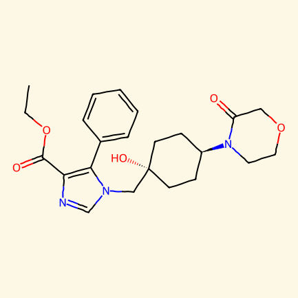 CCOC(=O)c1ncn(C[C@]2(O)CC[C@H](N3CCOCC3=O)CC2)c1-c1ccccc1